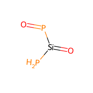 O=P[Si](=O)P